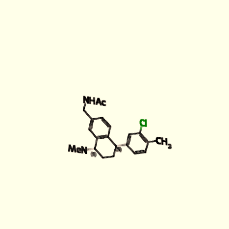 CN[C@H]1CC[C@@H](c2ccc(C)c(Cl)c2)c2ccc(CNC(C)=O)cc21